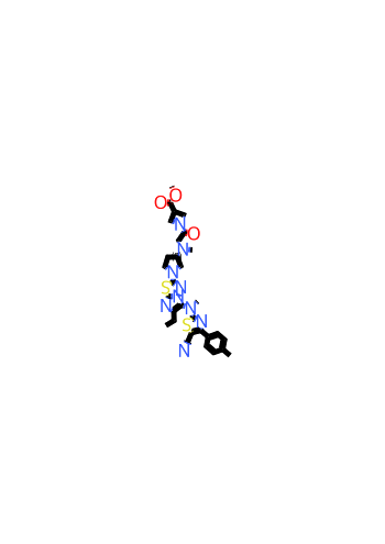 CCc1nc2sc(N3CC[C@H](N(C)CC(=O)N4CC(C(=O)OC)C4)C3)nn2c1N(C)c1nc(-c2ccc(C)cc2)c(C#N)s1